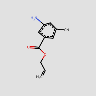 C=CCOC(=O)c1cc(N)cc(C#N)c1